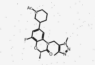 CC(=O)N1CCCC(c2cc(F)c3c(c2)N(Cc2c(C)nnn2C)C(=O)[C@@H](C)O3)C1